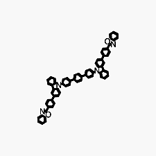 C1=CC(n2c3ccccc3c3cc(-c4ccc(-c5nc6ccccc6o5)cc4)ccc32)CC=C1c1ccc(-c2ccc(-n3c4ccccc4c4cc(-c5ccc(-c6nc7ccccc7o6)cc5)ccc43)cc2)cc1